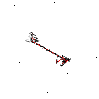 CC(C)[C@H](NC(=O)[C@H](CCCCNC(=O)CCOCCOCCOCCOCCOCCOCCOCCOCCOCCOCCOCCOCCNC(=O)C(CC(=O)N(C[C@H](O)[C@@H](O)[C@H](O)[C@H](O)CO)C[C@H](O)[C@@H](O)[C@H](O)[C@H](O)CO)S(=O)(=O)O)NC(=O)CCCCCN1C(=O)C=CC1=O)C(=O)N[C@@H](CCCNC(N)=O)C(=O)Nc1ccc(COI)cc1